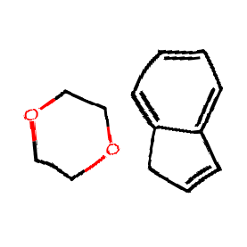 C1=Cc2ccccc2C1.C1COCCO1